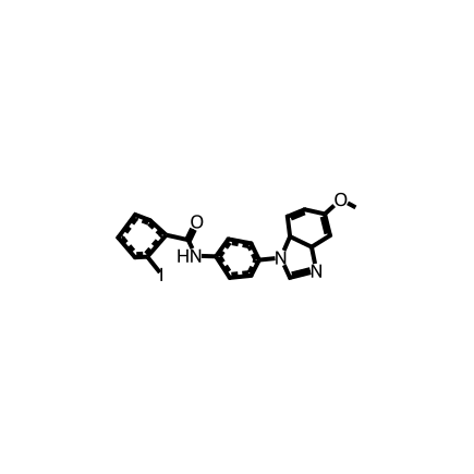 COC1=CC2N=CN(c3ccc(NC(=O)c4ccccc4I)cc3)C2C=C1